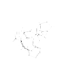 O=C(O)c1nc2ccccc2n(C2CC3CCC(C2)N3C2CCCCCCCC2)c1=O